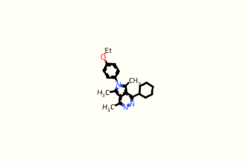 CCOc1ccc(-n2c(C)c3c(C)nnc(C4CCCCC4)c3c2C)cc1